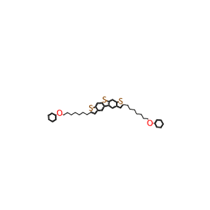 c1ccc(OCCCCCCCc2cc3cc4c(cc3s2)sc2cc3sc(CCCCCCCOc5ccccc5)cc3cc24)cc1